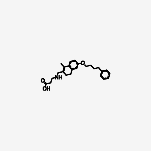 CC1=C(CNCCC(=O)O)CCc2cc(OCCCCc3ccccc3)ccc21